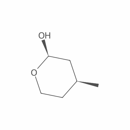 C[C@H]1CCO[C@@H](O)C1